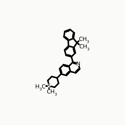 CC1(C)c2ccccc2-c2ccc(-c3nccc4cc(C5CCS(C)(C)CC5)ccc34)cc21